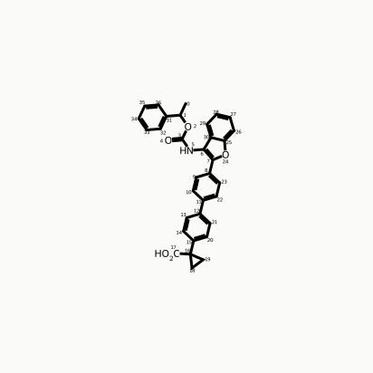 CC(OC(=O)Nc1c(-c2ccc(-c3ccc(C4(C(=O)O)CC4)cc3)cc2)oc2ccccc12)c1ccccc1